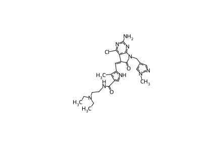 CCN(CC)CCNC(=O)c1c[nH]c(/C=C2\C(=O)N(Cc3cnn(C)c3)c3nc(N)nc(Cl)c32)c1C